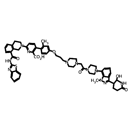 Cc1cc(OCCCN2CCN(CC(=O)N3CCN(c4cccc5c(C6CCC(=O)NC6O)nn(C)c45)CC3)CC2)ccc1-c1ccc(N2CCc3cccc(C(=O)Nc4nc5ccccc5s4)c3C2)nc1C(=O)O